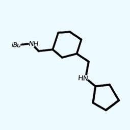 CCC(C)NCC1CCCC(CNC2CCCC2)C1